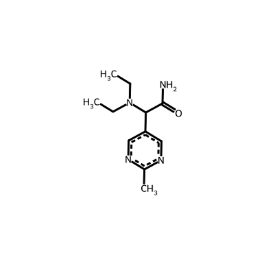 CCN(CC)C(C(N)=O)c1cnc(C)nc1